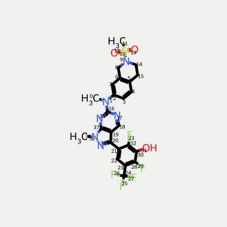 CN(c1ccc2c(c1)CN(S(C)(=O)=O)CC2)c1ncc2c(-c3cc(C(F)(F)F)c(F)c(O)c3F)nn(C)c2n1